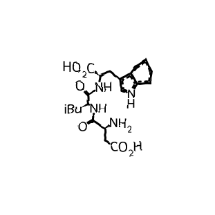 CC[C@H](C)[C@H](NC(=O)[C@@H](N)CC(=O)O)C(=O)N[C@H](Cc1c[nH]c2ccccc12)C(=O)O